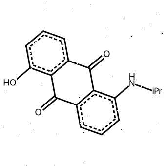 CC(C)Nc1cccc2c1C(=O)c1cccc(O)c1C2=O